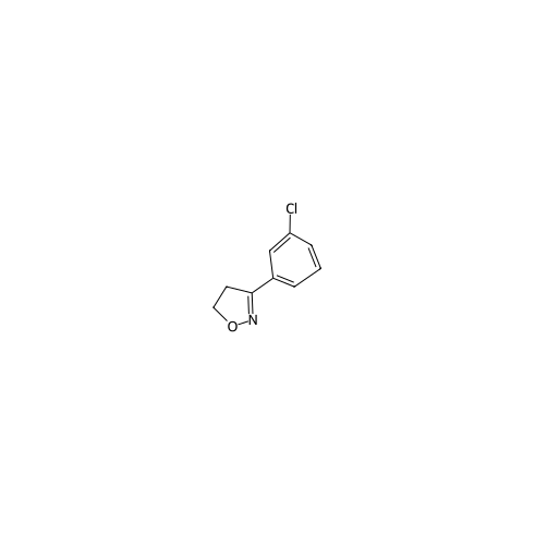 Clc1cccc(C2=NOCC2)c1